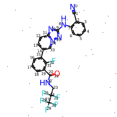 N#Cc1ccccc1Nc1nc2ccc(-c3cccc(C(=O)NCC(F)(F)C(F)(F)F)c3F)cn2n1